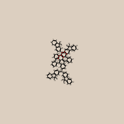 CC1(C)C2=C(CCC=C2)c2ccc(N(c3ccc4c(c3)C(C)(C)c3ccccc3-4)c3ccc4c(-c5ccccc5-c5ccccc5)c5cc(N(c6ccc7c(c6)C(C)(C)c6ccccc6-7)c6ccc7c(c6)C(C)(C)C6C=CC=CC76)ccc5c(-c5ccccc5-c5ccccc5)c4c3)cc21